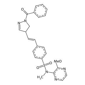 COc1nccnc1N(C)S(=O)(=O)c1ccc(/C=C/C2C=NN(C(=O)c3ccccc3)C2)cc1